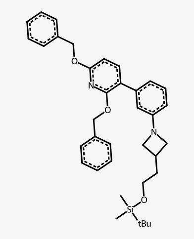 CC(C)(C)[Si](C)(C)OCCC1CN(c2cccc(-c3ccc(OCc4ccccc4)nc3OCc3ccccc3)c2)C1